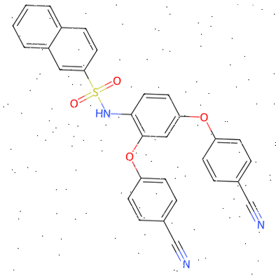 N#Cc1ccc(Oc2ccc(NS(=O)(=O)c3ccc4ccccc4c3)c(Oc3ccc(C#N)cc3)c2)cc1